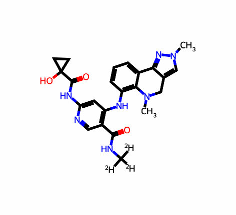 [2H]C([2H])([2H])NC(=O)c1cnc(NC(=O)C2(O)CC2)cc1Nc1cccc2c1N(C)Cc1cn(C)nc1-2